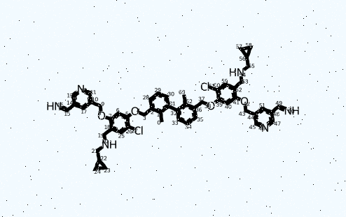 Cc1c(COc2cc(OCc3cncc(C=N)c3)c(CNCC3CC3)cc2Cl)cccc1-c1cccc(COc2cc(OCc3cncc(C=N)c3)c(CNCC3CC3)cc2Cl)c1C